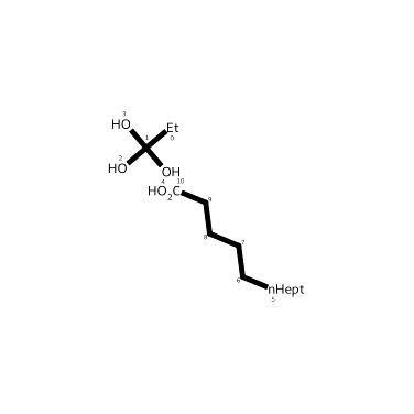 CCC(O)(O)O.CCCCCCCCCCCC(=O)O